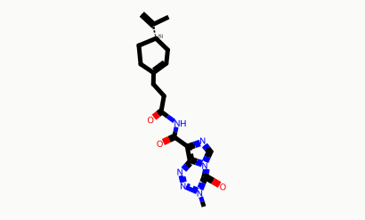 C=C(C)[C@@H]1CC=C(CCC(=O)NC(=O)c2ncn3c(=O)n(C)nnc23)CC1